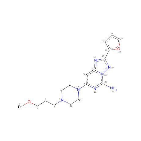 CCOCCCN1CCN(c2cc3nc(-c4ccco4)nn3c(N)n2)CC1